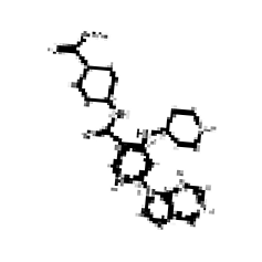 CNC(=O)C1CCC(NC(=O)c2cnc(-n3ccc4cncnc43)cc2NC2CCOCC2)CC1